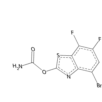 NC(=O)Oc1nc2c(Br)cc(F)c(F)c2s1